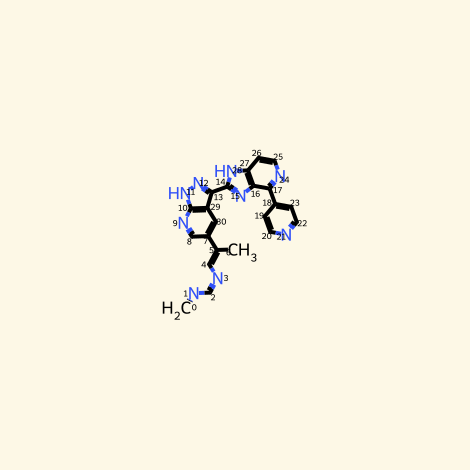 C=N/C=N\C=C(/C)c1cnc2[nH]nc(-c3nc4c(-c5ccncc5)nccc4[nH]3)c2c1